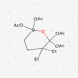 CCC1(CC)CC[Si](OC(C)=O)(OC(C)=O)OC1(OC(C)=O)OC(C)=O